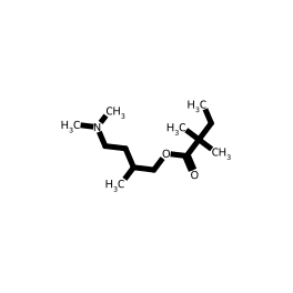 CCC(C)(C)C(=O)OCC(C)CCN(C)C